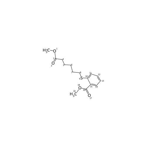 COC(=O)CCCCCSc1ccccc1C(=O)OC